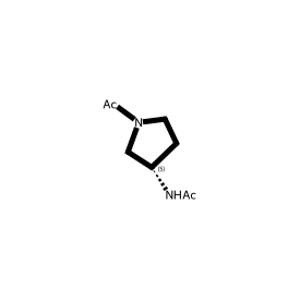 CC(=O)N[C@H]1CCN(C(C)=O)C1